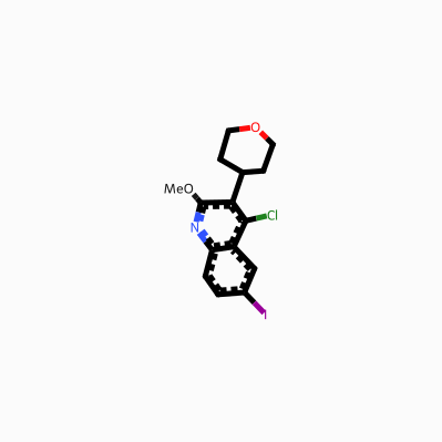 COc1nc2ccc(I)cc2c(Cl)c1C1CCOCC1